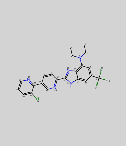 CCN(CC)c1cc(C(F)(F)F)cc2[nH]c(-c3ccc(-c4ncccc4Cl)cn3)nc12